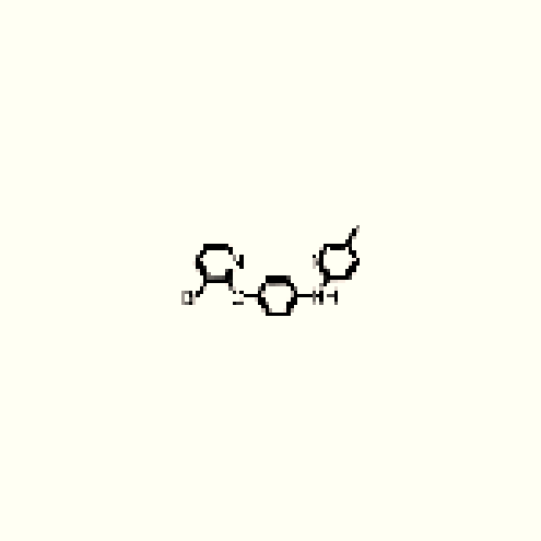 Cc1ccc(Nc2ccc(Oc3ncccc3Br)cc2)nc1